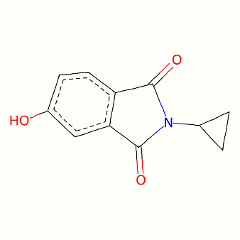 O=C1c2ccc(O)cc2C(=O)N1C1CC1